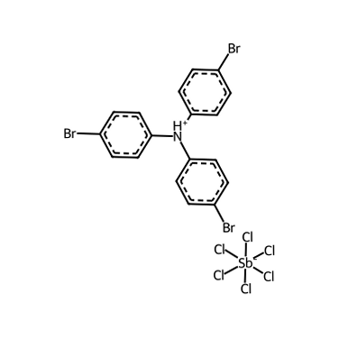 Brc1ccc([NH+](c2ccc(Br)cc2)c2ccc(Br)cc2)cc1.[Cl][Sb-]([Cl])([Cl])([Cl])([Cl])[Cl]